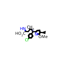 COc1nc(/C(=C/[C@H](C)CC(=N)C(=O)O)c2ccc(Cl)cc2)ccc1C1CC1